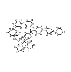 c1ccc(-c2ccc(-c3ccc(N(c4ccc(C5(c6ccccc6)c6ccccc6-c6ccccc65)cc4)c4cccc(-c5cccc(-c6ccccc6)c5)c4)cc3)cc2)cc1